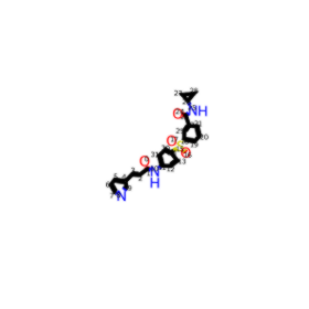 O=C(/C=C/c1cccnc1)Nc1ccc(S(=O)(=O)c2cccc(C(=O)NC3CC3)c2)cc1